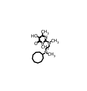 Cc1nc(N(C)CCN(C)C2CCCCCCCC2)n(C)c(=O)c1O